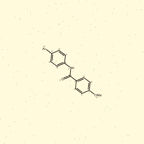 COc1ccc(C(=O)Nc2ccc(C(C)=O)cc2)cc1